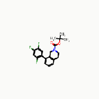 CC(C)(C)OC(=O)N1CCc2cccc(-c3cc(F)c(F)cc3F)c2C1